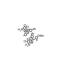 CCc1c(N)cc(Cl)c(CC)c1NC(=O)N(Cc1ccc(OC)cc1F)c1ccc(C(C)C)cc1.CCc1c(N)cc(Cl)c(CC)c1NC(=O)N(c1ccc(C(C)C)cc1)[C@H](C)c1ccc(C)cc1